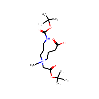 CC(C)(C)OC(=O)C[N+](C)(CCCNC(=O)OC(C)(C)C)CCCC(=O)O